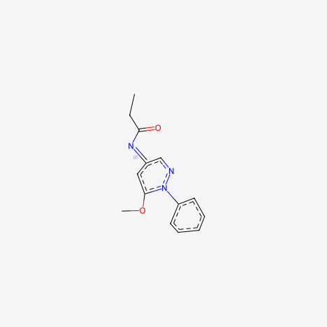 CCC(=O)/N=c1\cnn(-c2ccccc2)c(OC)c1